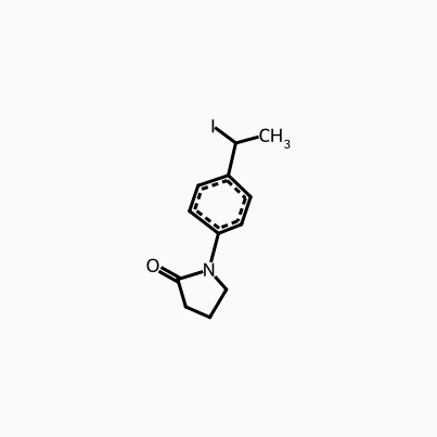 CC(I)c1ccc(N2CCCC2=O)cc1